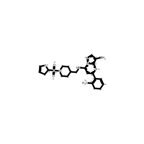 Bc1cnn2c(NCC3CCN(S(=O)(=O)C4CC=CS4)CC3)cc(C3=C(C)CCC=C3)nc12